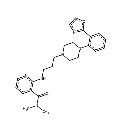 CN(C)C(=O)c1cccnc1NCCCN1CCN(c2ccccc2-c2ncco2)CC1